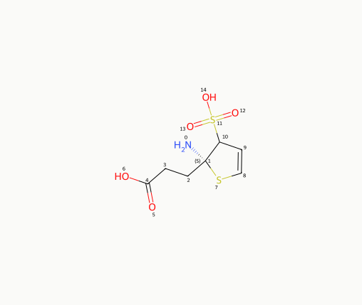 N[C@@]1(CCC(=O)O)SC=CC1S(=O)(=O)O